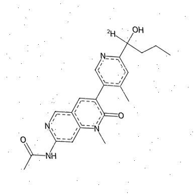 [2H]C(O)(CCC)c1cc(C)c(-c2cc3cnc(NC(C)=O)cc3n(C)c2=O)cn1